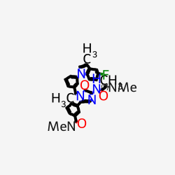 CNC(=O)c1ccc(C)c(-c2cnc(NC(=O)[C@H](C)NC)c(=O)n2Cc2cccc(-n3cc(C)c4cc(F)ccc43)c2)c1